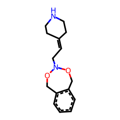 C(CN1OCc2ccccc2CO1)=C1CCNCC1